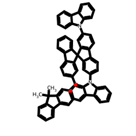 CC1(C)c2ccccc2-c2ccc(C(=O)c3ccc4c(c3)C3(c5ccccc5-4)c4cc(-n5c6ccccc6c6ccccc65)ccc4-c4ccc(-n5c6ccccc6c6ccccc65)cc43)cc21